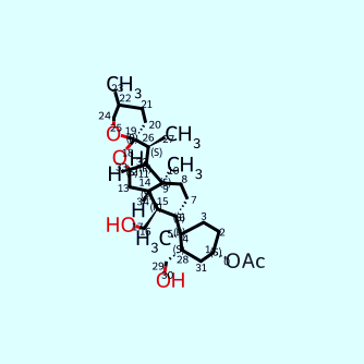 CC(=O)O[C@H]1CC[C@](C)([C@H]2CC[C@]3(C)[C@@H]4[C@H](C[C@H]3[C@@H]2CO)O[C@]2(CCC(C)CO2)[C@H]4C)[C@@H](CO)C1